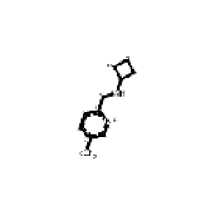 FC(F)(F)c1ccc(CNC2CCC2)nc1